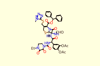 CCN1CCN(C(=O)NC(C(=O)N[C@]2(NC=O)C(=O)N3C(C(=O)OC(c4ccccc4)c4ccccc4)=C(CSc4nnnn4C)CS[C@@H]32)c2ccc(OC(C)=O)c(OC(C)=O)c2)C(=O)C1=O